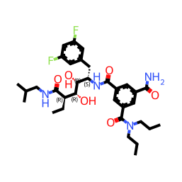 CCCN(CCC)C(=O)c1cc(C(N)=O)cc(C(=O)N[C@@H](Cc2cc(F)cc(F)c2)[C@@H](O)[C@H](O)[C@@H](CC)C(=O)NCC(C)C)c1